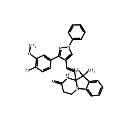 COc1cc(-c2nn(-c3ccccc3)cc2/C=C/C23NC(=O)CCN2c2ccccc2C3(C)C)ccc1Cl